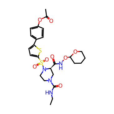 CCNC(=O)N1CCN(S(=O)(=O)c2ccc(-c3ccc(OC(C)=O)cc3)s2)[C@@H](C(=O)NOC2CCCCO2)C1